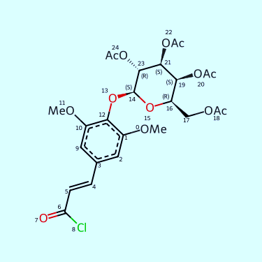 COc1cc(C=CC(=O)Cl)cc(OC)c1O[C@@H]1O[C@H](COC(C)=O)[C@H](OC(C)=O)[C@H](OC(C)=O)[C@H]1OC(C)=O